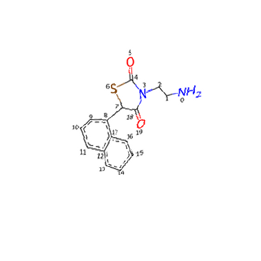 NCCN1C(=O)SC(c2cccc3ccccc23)C1=O